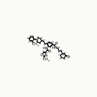 Cc1nc(C(=O)Nc2cc(C(=O)NCCCC3CCCC(=O)C3)ccc2CCC2CCN(c3ccccc3C)CC2)co1